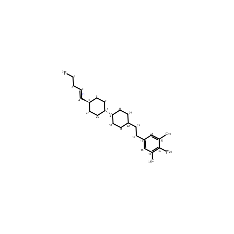 FCC/C=C/[C@H]1CC[C@H](C2CCC(CCc3cc(F)c(F)c(F)c3)CC2)CC1